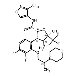 Cc1nocc1NC(=O)[C@@H]1O[C@@](C)(C(F)(F)F)[C@@H](C)[C@H]1c1ccc(F)c(F)c1OC[C@@H](C)N1CCOCC1